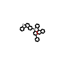 c1ccc(-c2ccc(N(c3ccc4c(ccc5oc6ccccc6c54)c3)c3ccccc3-c3cccc4ccccc34)cc2)cc1